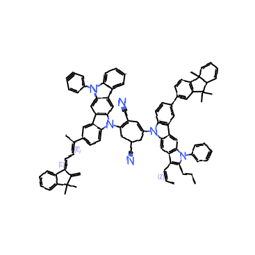 C=C1/C(=C\C=C(/C)c2ccc3c(c2)c2cc4c(cc2n3C2=C(C#N)C=C(n3c5ccc(-c6ccc7c(c6)C(C)(C)C6C=CC=CC76C)cc5c5cc6c(cc53)c(/C=C\C)c(CCC)n6-c3ccccc3)CC(C#N)C2)c2ccccc2n4-c2cc#ccc2)c2ccccc2C1(C)C